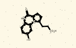 O=C(O)CCc1ccc2c(=O)[nH]c3ccc(Cl)cc3n12